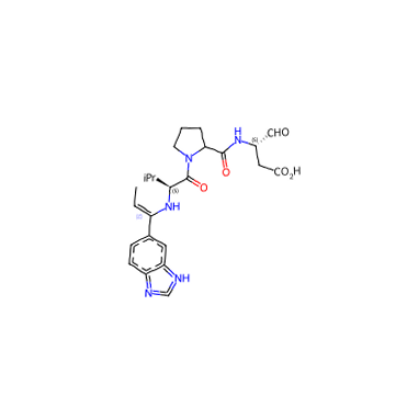 C/C=C(\N[C@H](C(=O)N1CCCC1C(=O)N[C@H](C=O)CC(=O)O)C(C)C)c1ccc2nc[nH]c2c1